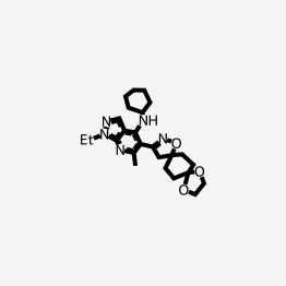 CCn1ncc2c(NC3CCCCC3)c(C3=NOC4(CCC5(CC4)OCCO5)C3)c(C)nc21